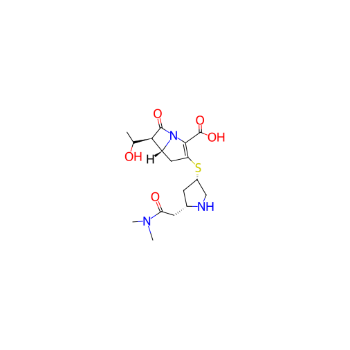 CC(O)[C@H]1C(=O)N2C(C(=O)O)=C(S[C@@H]3CN[C@H](CC(=O)N(C)C)C3)C[C@H]12